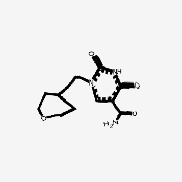 NC(=O)c1cn(CC2CCOCC2)c(=O)[nH]c1=O